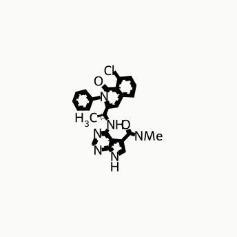 CNC(=O)c1c[nH]c2ncnc(N[C@@H](C)c3cc4cccc(Cl)c4c(=O)n3-c3ccccc3)c12